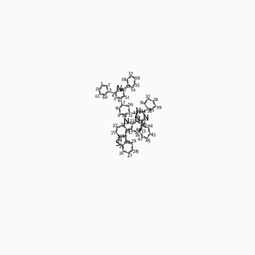 c1ccc(-c2cc(-c3ccc(-n4c5ccccc5c5c6c(ccc54)sc4ccccc46)c(-c4nc(-c5ccccc5)nc(-c5ccccc5)n4)c3)cc(-c3ccccc3)n2)cc1